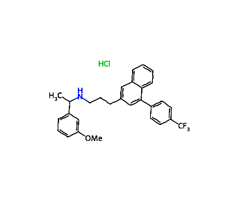 COc1cccc(C(C)NCCCc2cc(-c3ccc(C(F)(F)F)cc3)c3ccccc3c2)c1.Cl